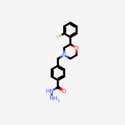 NNC(=O)c1ccc(CN2CCOC(c3ccccc3F)C2)cc1